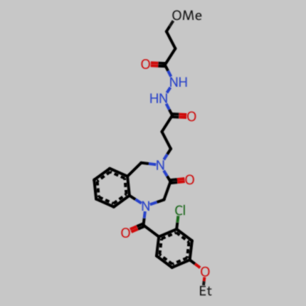 [CH2]COc1ccc(C(=O)N2CC(=O)N(CCC(=O)NNC(=O)CCOC)Cc3ccccc32)c(Cl)c1